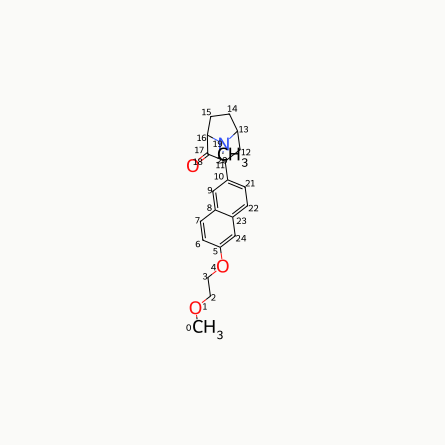 COCCOc1ccc2cc(C3CC4CCC(C3=O)N4C)ccc2c1